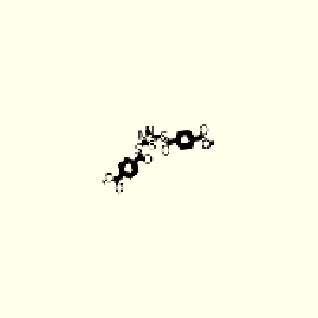 COC(=O)c1ccc(C(=O)Sc2nnc(SC(=O)c3ccc(C(=O)OC)cc3)s2)cc1